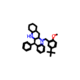 COc1ccc(C(C)(C)C)cc1CNC1CC2CCCCC2NC1C(c1ccccc1)c1ccccc1